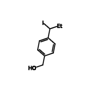 CCC(I)c1ccc(CO)cc1